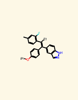 CC/C(=C(/c1ccc(OC(C)C)cc1)c1ccc2[nH]ncc2c1)c1ccc(C)cc1F